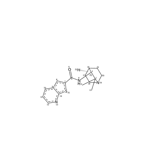 CC1(C)[C@@H](NC(=O)c2cc3cccnc3s2)C2CCN1CC2